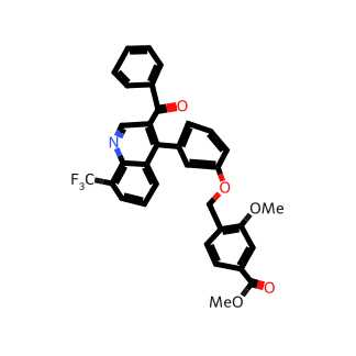 COC(=O)c1ccc(COc2cccc(-c3c(C(=O)c4ccccc4)cnc4c(C(F)(F)F)cccc34)c2)c(OC)c1